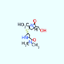 CN(C)C(=O)C1CC(SC2=C(C(=O)O)N3C(=O)C(CCO)[C@H]3C2)CN1